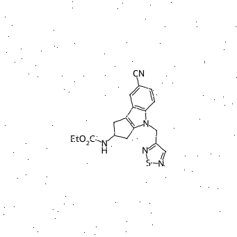 CCOC(=O)NC1Cc2c(n(Cc3cnsn3)c3ccc(C#N)cc23)C1